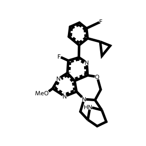 COc1nc2c3c(nc(-c4cccc(F)c4C4CC4)c(F)c3n1)OCC1C3CCC(CN21)N3